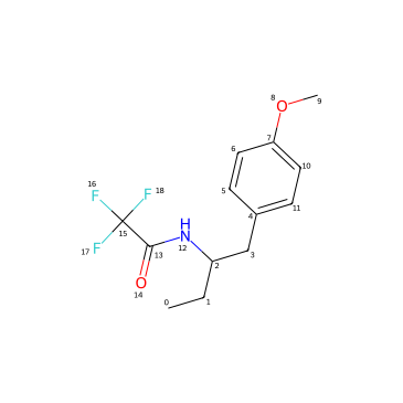 CCC(Cc1ccc(OC)cc1)NC(=O)C(F)(F)F